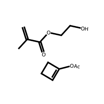 C=C(C)C(=O)OCCO.CC(=O)OC1=CCC1